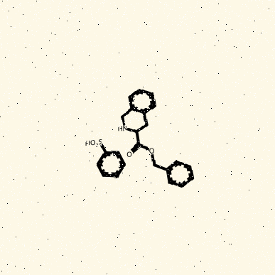 O=C(OCc1ccccc1)C1Cc2ccccc2CN1.O=S(=O)(O)c1ccccc1